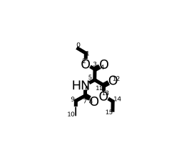 CCOC(=O)C(NC(=O)CI)C(=O)OCC